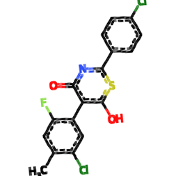 Cc1cc(F)c(-c2c(O)sc(-c3ccc(Cl)cc3)nc2=O)cc1Cl